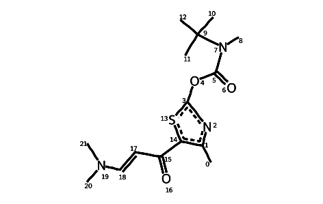 Cc1nc(OC(=O)N(C)C(C)(C)C)sc1C(=O)C=CN(C)C